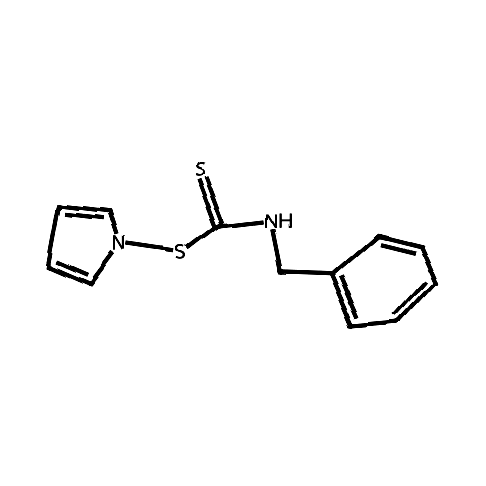 S=C(NCc1ccccc1)Sn1cccc1